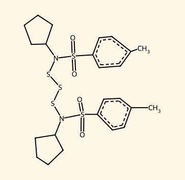 Cc1ccc(S(=O)(=O)N(SSSN(C2CCCC2)S(=O)(=O)c2ccc(C)cc2)C2CCCC2)cc1